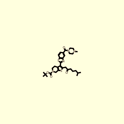 CC(C)CCCC(=O)Cc1sc2c(c1-c1nc3cc(C(=O)N4CCN(C)CC4)ccc3s1)CCN(C(=O)OC(C)(C)C)C2